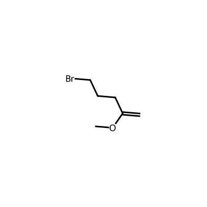 C=C(CCCBr)OC